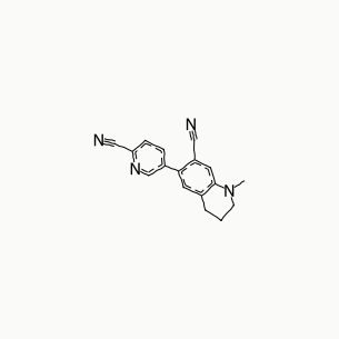 CN1CCCc2cc(-c3ccc(C#N)nc3)c(C#N)cc21